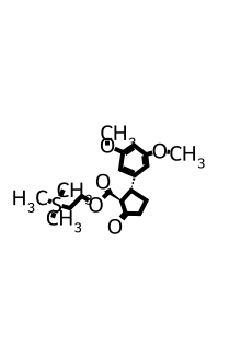 COc1cc(OC)cc([C@@H]2CCC(=O)[C@H]2C(=O)OCCS(C)(C)C)c1